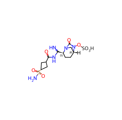 N=C(NC(=O)C1CC(S(N)(=O)=O)C1)[C@@H]1CC[C@@H]2CN1C(=O)N2OS(=O)(=O)O